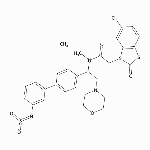 C.CN(C(=O)Cn1c(=O)sc2ccc(Cl)cc21)C(CN1CCOCC1)c1ccc(-c2cccc(N=S(=O)=O)c2)cc1